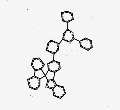 c1ccc(-c2cc(-c3cccc(-c4ccc5c(c4)C4(c6ccccc6-c6ccccc64)c4oc6ccccc6c4-5)c3)nc(-c3ccccc3)n2)cc1